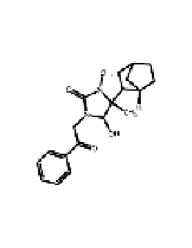 CN1C(=O)N(CC(=O)c2ccccc2)C(O)C1(C)C1CC2CC[C@H]1C2